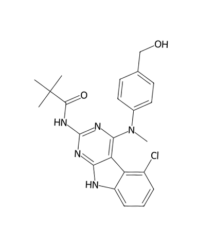 CN(c1ccc(CO)cc1)c1nc(NC(=O)C(C)(C)C)nc2[nH]c3cccc(Cl)c3c12